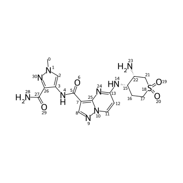 Cn1cc(NC(=O)c2cnn3ccc(N[C@H]4CCS(=O)(=O)C[C@H]4N)nc23)c(C(N)=O)n1